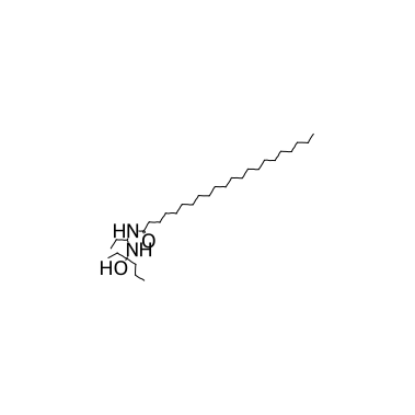 CCCCCCCCCCCCCCCCCCCCCC(=O)NC(CC)NC(O)(CC)CCC